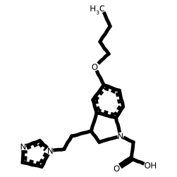 CCCCOc1ccc2c(c1)C(CCn1ccnc1)CN2CC(=O)O